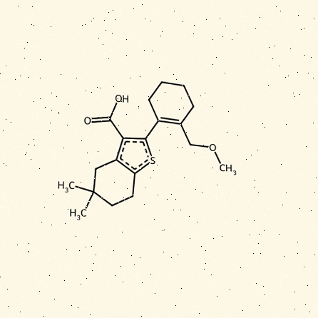 COCC1=C(c2sc3c(c2C(=O)O)CC(C)(C)CC3)CCCC1